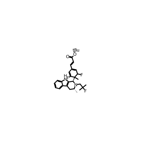 C[C@@H]1Cc2c([nH]c3ccccc23)[C@@H](C2(C)C(F)=CC(/C=C/C(=O)OC(C)(C)C)=CC2F)N1CC(C)(C)F